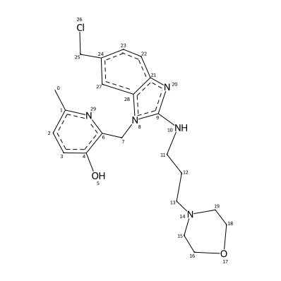 Cc1ccc(O)c(Cn2c(NCCCN3CCOCC3)nc3ccc(CCl)cc32)n1